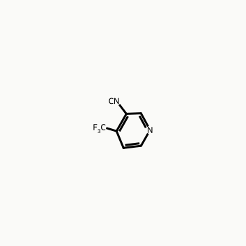 [C-]#[N+]c1cnccc1C(F)(F)F